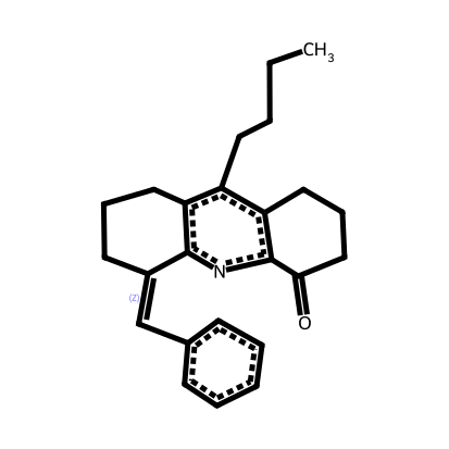 CCCCc1c2c(nc3c1CCC/C3=C/c1ccccc1)C(=O)CCC2